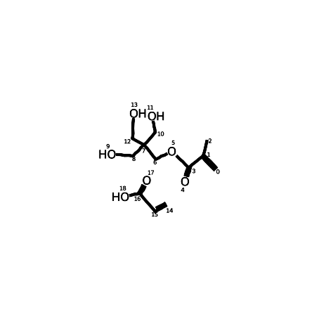 C=C(C)C(=O)OCC(CO)(CO)CO.C=CC(=O)O